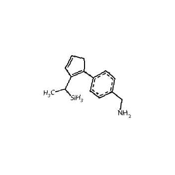 CC([SiH3])C1=C(c2ccc(CN)cc2)CC=C1